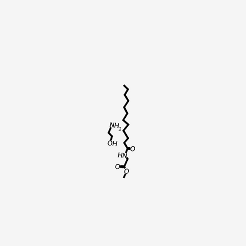 CCCCCCCCCCCC(=O)NCC(=O)OC.NCCO